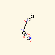 Cc1cccc(C2CCN(C(=O)CCCCCNc3ccc4c(c3)C(=O)N(C3CCC(=O)NC3=O)C4=O)CC2)c1